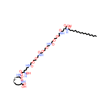 CCCCCCCCCCCCCCCCCC(=O)N[C@@H](CCC(=O)NCCOCCOCC(=O)NCCOCCOCC(=O)NCCOCCOCC(=O)NCCCCC(NO)C(=O)ONC1CCCCCCCCC(C(=O)O)NOC1=O)C(=O)O